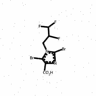 O=C(O)c1nc(Br)n(CC(F)C(F)F)c1Br